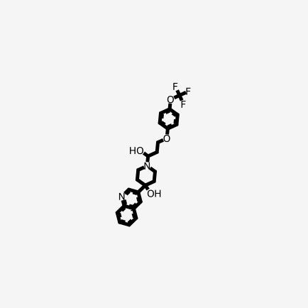 OC(CCOc1ccc(OC(F)(F)F)cc1)N1CCC(O)(c2cnc3ccccc3c2)CC1